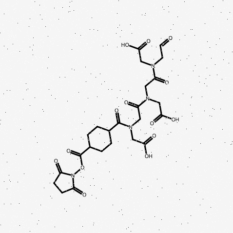 O=CCN(CC(=O)O)C(=O)CN(CC(=O)O)C(=O)CN(CC(=O)O)C(=O)C1CCC(C(=O)ON2C(=O)CCC2=O)CC1